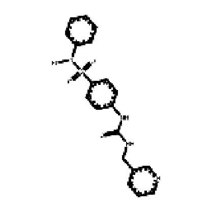 CCN(c1ccccc1)S(=O)(=O)c1ccc(NC(=O)NCc2cccnc2)cc1